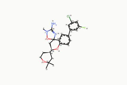 CN1OC2(C[C@H]([C@@H]3CCOC(C)(C)C3)Oc3ccc(-c4cc(F)cc(Cl)c4)cc32)N=C1N